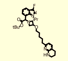 CC(C)n1nc(F)c2cccc(C(C(=O)OC(C)(C)C)N3CC(OCCCCCc4ccc5c(n4)NCCC5)C3)c21